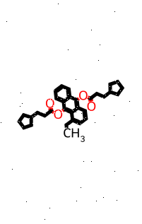 CCc1cccc2c(OC(=O)CCC3CCCC3)c3ccccc3c(OC(=O)CCC3CCCC3)c12